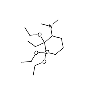 CCOC1(CC)C(N(C)C)CCC[Si]1(OCC)OCC